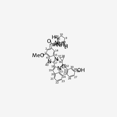 COc1cc(C(=O)N2C[C@H]3CC[C@@H]2[C@@H]3N)cc2nc(-c3cc4cccc(-c5ccc(O)cc5Cl)c4n3CC3CC3)n(C)c12